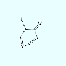 O=C1C=CN=CC1I